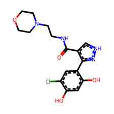 O=C(NCCN1CCOCC1)c1c[nH]nc1-c1cc(Cl)c(O)cc1O